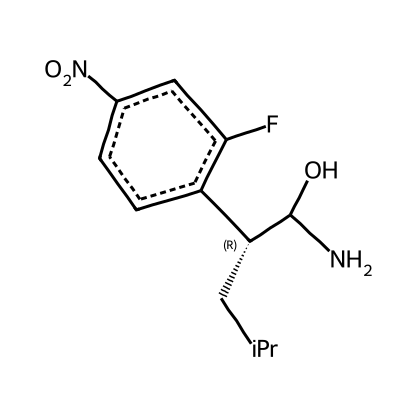 CC(C)C[C@H](c1ccc([N+](=O)[O-])cc1F)C(N)O